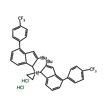 CC(C)(C)C1=Cc2c(-c3ccc(C(F)(F)F)cc3)cccc2[CH]1[Hf]1([CH]2C(C(C)(C)C)=Cc3c(-c4ccc(C(F)(F)F)cc4)cccc32)[CH2][CH2]1.Cl.Cl